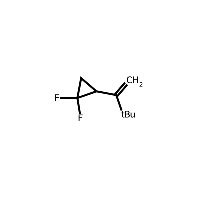 C=C(C1CC1(F)F)C(C)(C)C